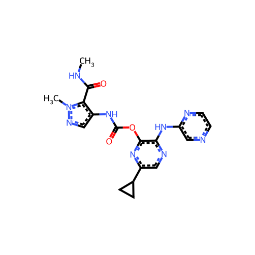 CNC(=O)c1c(NC(=O)Oc2nc(C3CC3)cnc2Nc2cnccn2)cnn1C